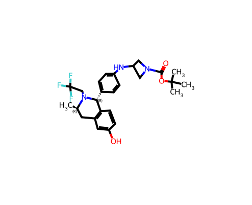 C[C@@H]1Cc2cc(O)ccc2[C@@H](c2ccc(NC3CN(C(=O)OC(C)(C)C)C3)cc2)N1CC(F)(F)F